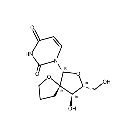 O=c1ccn([C@@H]2O[C@H](CO)[C@@H](O)[C@@]23CCCO3)c(=O)[nH]1